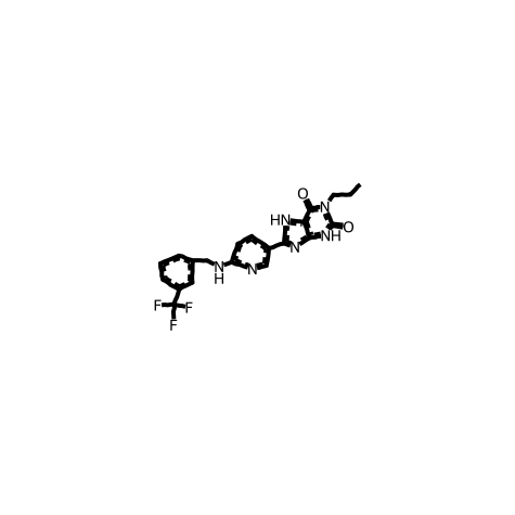 CCCn1c(=O)[nH]c2nc(-c3ccc(NCc4cccc(C(F)(F)F)c4)nc3)[nH]c2c1=O